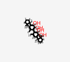 Cc1cc([C@@]2(C)CCCC2(C)C)c(O)c(O)c1-c1c(C)cc([C@@]2(C)CCCC2(C)C)c(O)c1O